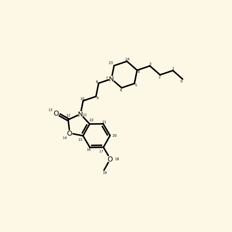 CCCCC1CCN(CCCn2c(=O)oc3cc(OC)ccc32)CC1